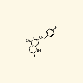 CC1CCn2c(cc(OCc3ccc(F)cc3)nc2=O)N1